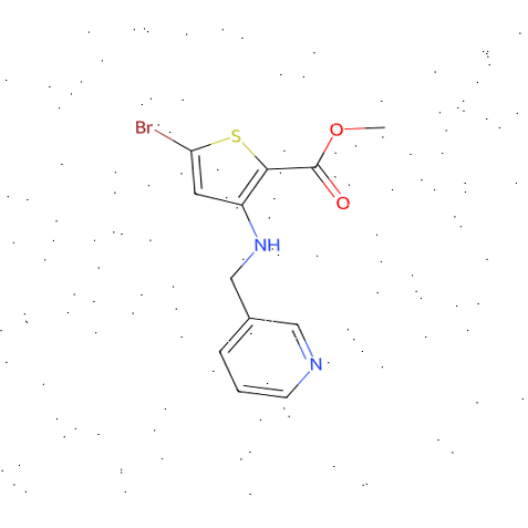 COC(=O)c1sc(Br)cc1NCc1cccnc1